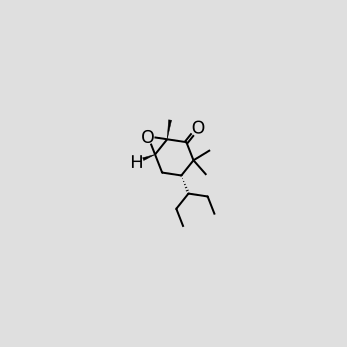 CCC(CC)[C@@H]1C[C@@H]2O[C@]2(C)C(=O)C1(C)C